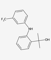 CC(C)(O)c1ccccc1Nc1cccc(C(F)(F)F)c1